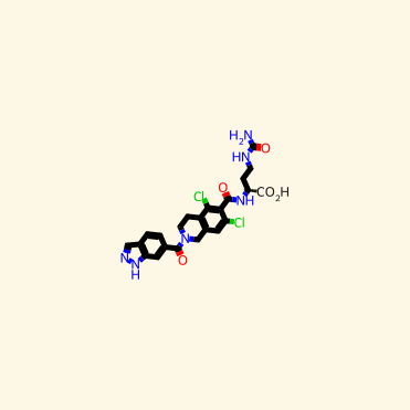 NC(=O)NCC[C@H](NC(=O)c1c(Cl)cc2c(c1Cl)CCN(C(=O)c1ccc3cn[nH]c3c1)C2)C(=O)O